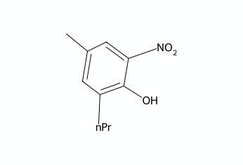 CCCc1cc(C)cc([N+](=O)[O-])c1O